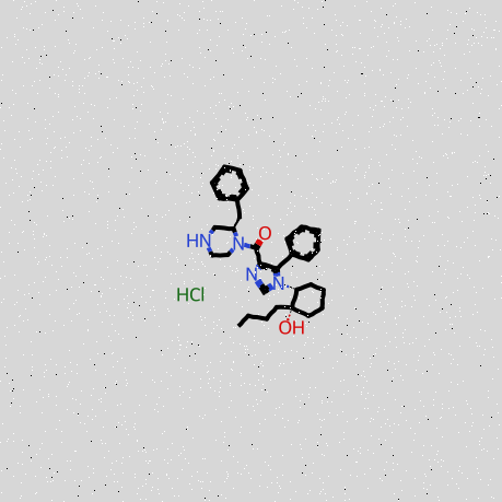 CCCC[C@]1(O)CCCC[C@H]1n1cnc(C(=O)N2CCNC[C@H]2Cc2ccccc2)c1-c1ccccc1.Cl